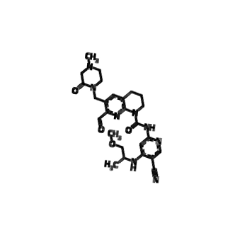 COCC(C)Nc1cc(NC(=O)N2CCCc3cc(CN4CCN(C)CC4=O)c(C=O)nc32)ncc1C#N